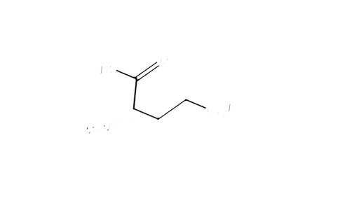 CN[C@@H](CCC(=O)O)C(=O)S